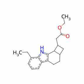 CCOC(=O)CC1CC2CCc3c([nH]c4c(CC)cccc34)C21